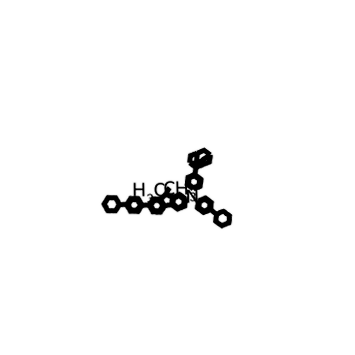 CC1(C)c2cc(-c3ccc(C4CCCCC4)cc3)ccc2-c2ccc(N(c3ccc(C4CCCCC4)cc3)c3ccc(C4C5CC6CC(C5)CC4C6)cc3)cc21